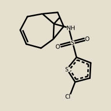 CC1(NS(=O)(=O)c2ccc(Cl)s2)C2CC=CCC1CC2